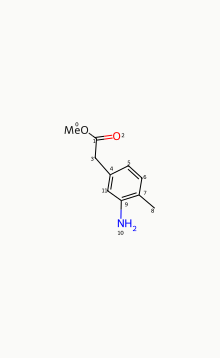 COC(=O)Cc1ccc(C)c(N)c1